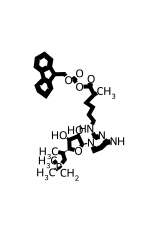 C=P(C)(C)CC(C)[C@H]1O[C@@H](n2ccc(=N)nc2NCCCCC(C)C(=O)OC(=O)OCC2c3ccccc3-c3ccccc32)[C@H](O)[C@@H]1O